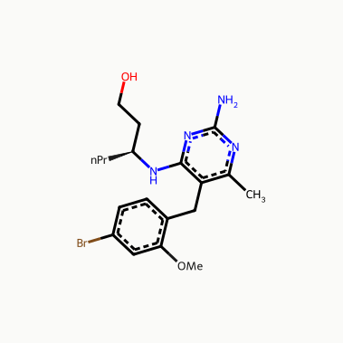 CCC[C@@H](CCO)Nc1nc(N)nc(C)c1Cc1ccc(Br)cc1OC